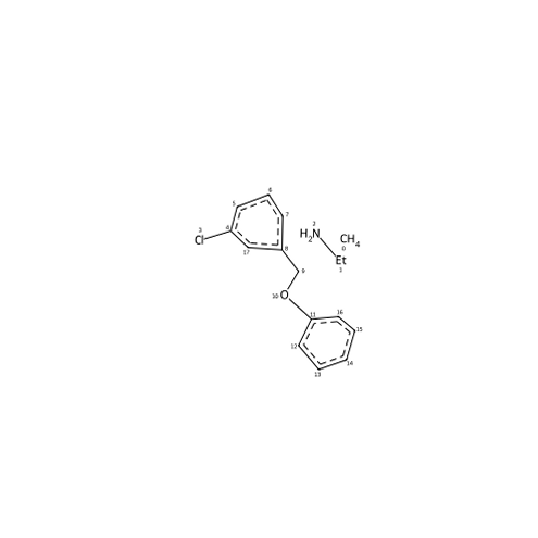 C.CCN.Clc1cccc(COc2ccccc2)c1